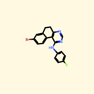 Fc1ccc(Nc2ncnc3c2-c2ccc(Br)cc2CC3)cc1